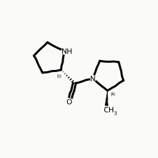 C[C@@H]1CCCN1C(=O)[C@@H]1CCCN1